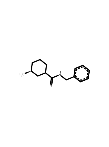 O=C(NCc1ccccc1)C1CCC[C@H](C(F)(F)F)C1